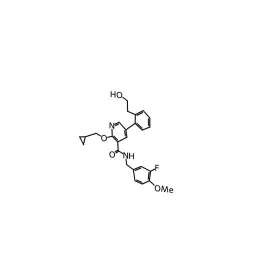 COc1ccc(CNC(=O)c2cc(-c3ccccc3CCO)cnc2OCC2CC2)cc1F